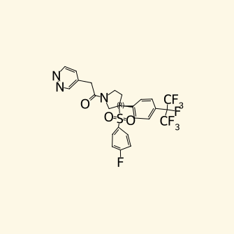 O=C(Cc1ccnnc1)N1CC[C@](c2ccc(C(F)(C(F)(F)F)C(F)(F)F)cc2)(S(=O)(=O)c2ccc(F)cc2)C1